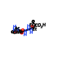 CCC(CCC(CC(CC)c1ccccc1)C(=O)O)C(=O)NCCNCCNCCS(=O)(=O)c1ccc(N/N=C(/C(C)=O)C(=O)Nc2ccccc2OC)cc1